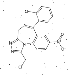 O=[N+]([O-])c1ccc2c(c1)C(c1ccccc1Cl)=NCc1nnc(CCl)n1-2